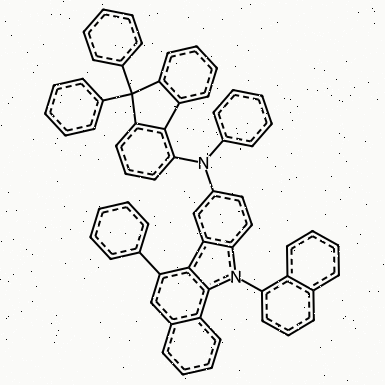 c1ccc(-c2cc3ccccc3c3c2c2cc(N(c4ccccc4)c4cccc5c4-c4ccccc4C5(c4ccccc4)c4ccccc4)ccc2n3-c2cccc3ccccc23)cc1